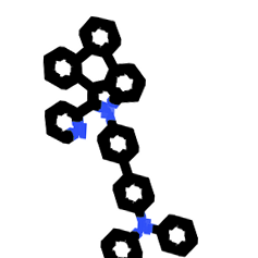 c1ccc(N(c2ccccc2)c2ccc(-c3ccc(-n4c(-c5ccccn5)c5c6c(cccc64)-c4ccccc4-c4ccccc4-5)cc3)cc2)cc1